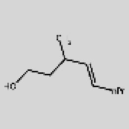 CCCC=CC(C)CCO